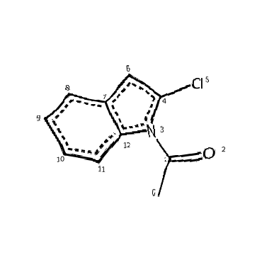 CC(=O)n1c(Cl)cc2ccccc21